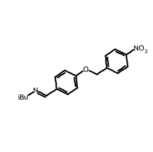 CCC(C)/N=C/c1ccc(OCc2ccc([N+](=O)[O-])cc2)cc1